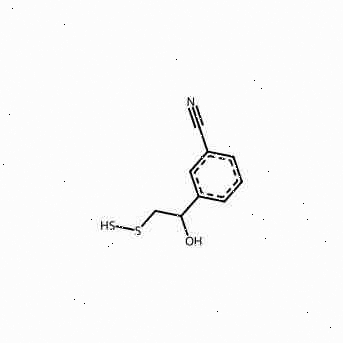 N#Cc1cccc(C(O)CSS)c1